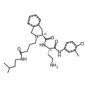 Cc1cc(NC(=O)[C@H](CCN)NC(=O)[C@@H]2Cc3ccccc3CN2CCCC(=O)NCCC(C)C)ccc1Cl